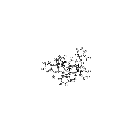 CCc1ccccc1-c1cccc2c1C=C(c1ccccc1)[CH]2[Zr]([c]1cccc2c1[SiH2]c1ccccc1-2)[CH]1C(c2ccccc2)=Cc2c(-c3ccccc3CC)cccc21